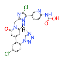 Cc1cc(-c2cc(Cl)ccc2-n2cnnn2)cc(=O)n1Cc1nc(Cl)c(-c2ccc(NC(=O)O)nc2)[nH]1